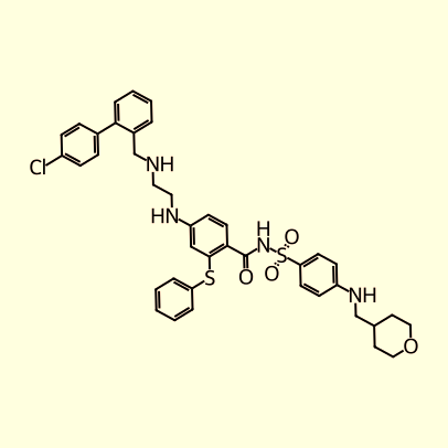 O=C(NS(=O)(=O)c1ccc(NCC2CCOCC2)cc1)c1ccc(NCCNCc2ccccc2-c2ccc(Cl)cc2)cc1Sc1ccccc1